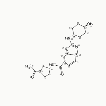 CC(=O)N1CC[C@@H](NC(=O)c2ccc3cnc(N[C@H]4CC[C@H](O)CC4)nc3c2)C1